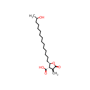 C=C1C(=O)O[C@H](CCCCCCCCCCCCC[C@@H](C)O)[C@H]1C(=O)O